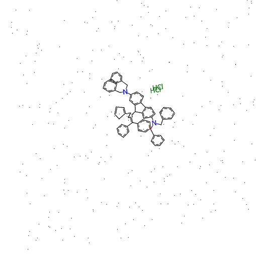 C1=CC[C]([Zr](=[C](c2ccccc2)c2ccccc2)[CH]2c3cc(N(Cc4ccccc4)Cc4ccccc4)ccc3-c3ccc(N(Cc4ccccc4)Cc4ccccc4)cc32)=C1.Cl.Cl